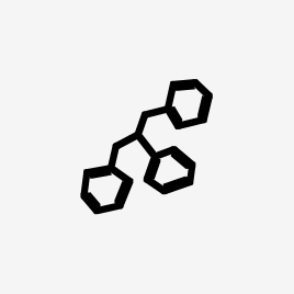 c1ccc(C[C](Cc2ccccc2)c2ccccc2)cc1